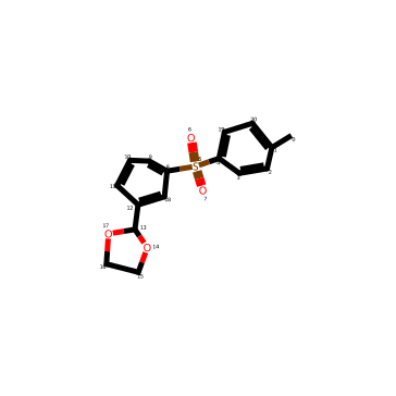 Cc1ccc(S(=O)(=O)c2cccc(C3OCCO3)c2)cc1